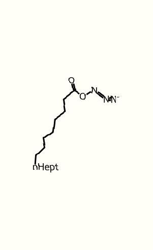 CCCCCCCCCCCCCCC(=O)ON=[N+]=[N-]